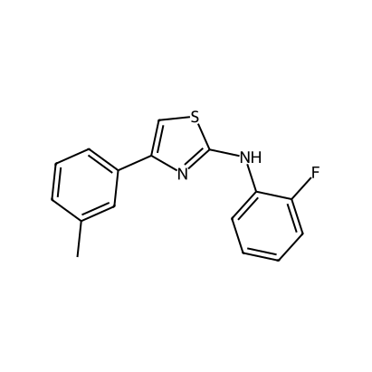 Cc1cccc(-c2csc(Nc3ccccc3F)n2)c1